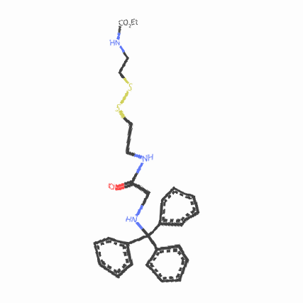 CCOC(=O)NCCSSCCNC(=O)CNC(c1ccccc1)(c1ccccc1)c1ccccc1